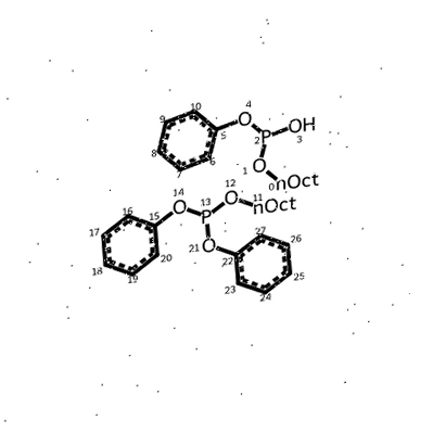 CCCCCCCCOP(O)Oc1ccccc1.CCCCCCCCOP(Oc1ccccc1)Oc1ccccc1